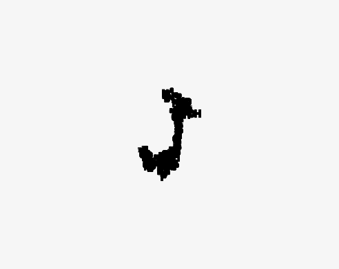 Cc1ncsc1-c1ccc(CNC(=O)[C@@H]2C[C@@H](O)CN2C(=O)[C@@H](NC(=O)COCCOCCOCCOc2ccc(NC(=O)c3c(-c4ccccc4)c(-c4ccc(F)cc4)n(CC[C@@H]4C[C@H](CC(=O)OC(C)(C)C)OC(C)(C)O4)c3C(C)C)cc2)C(C)(C)C)cc1